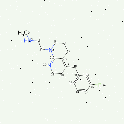 CNCCN1CCCc2c(Cc3cccc(F)c3)ccnc21